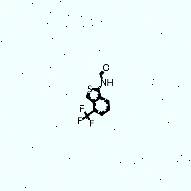 O=CNc1scc2c(C(F)(F)F)cccc12